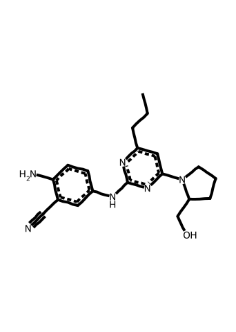 CCCc1cc(N2CCCC2CO)nc(Nc2ccc(N)c(C#N)c2)n1